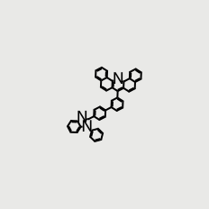 c1ccc(-n2c(-c3ccc(-c4cccc(-c5c6ccc7ccccc7c6nc6c5ccc5ccccc56)c4)cc3)nc3ccccc32)cc1